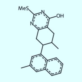 CSc1nc(O)c2c(n1)CC(c1cc(C)cc3ccccc13)C(C)C2